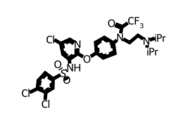 CC(C)N(CCN(C(=O)C(F)(F)F)c1ccc(Oc2ncc(Cl)cc2NS(=O)(=O)c2ccc(Cl)c(Cl)c2)cc1)C(C)C